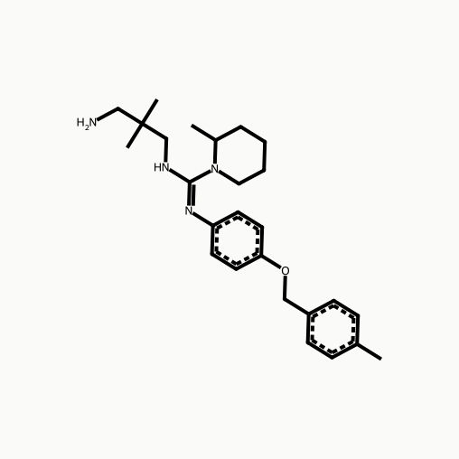 Cc1ccc(COc2ccc(/N=C(/NCC(C)(C)CN)N3CCCCC3C)cc2)cc1